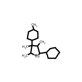 CCC(C1CCCCC1)C(C)C(C)(C(C)N)C1CCC(C)CC1